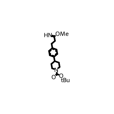 COC(=N)CCc1ccc(C2CCN(C(=O)OC(C)(C)C)CC2)cc1